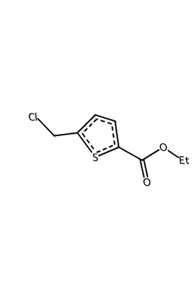 CCOC(=O)c1ccc(CCl)s1